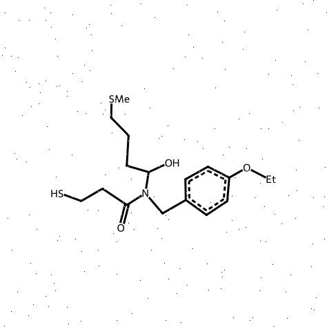 CCOc1ccc(CN(C(=O)CCS)C(O)CCCSC)cc1